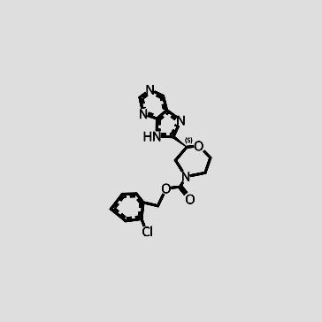 O=C(OCc1ccccc1Cl)N1CCO[C@H](c2nc3cncnc3[nH]2)C1